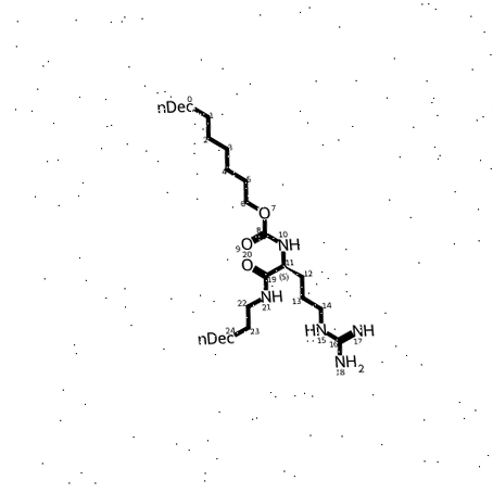 CCCCCCCCCCCCCCCCOC(=O)N[C@@H](CCCNC(=N)N)C(=O)NCCCCCCCCCCCC